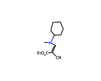 CCOC(=O)/C(C#N)=C\N(C)C1CCCCC1